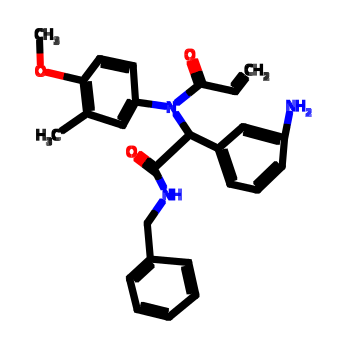 C=CC(=O)N(c1ccc(OC)c(C)c1)C(C(=O)NCc1ccccc1)c1cccc(N)c1